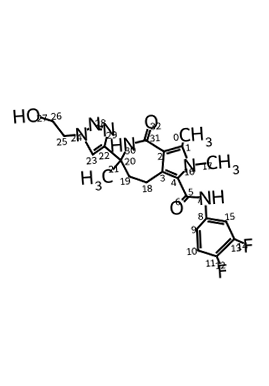 Cc1c2c(c(C(=O)Nc3ccc(F)c(F)c3)n1C)CCC(C)(c1cn(CCO)nn1)NC2=O